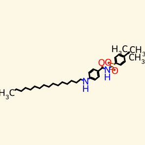 CCCCCCCCCCCCCCCCNc1ccc(C(=O)NS(=O)(=O)c2ccc(C(C)(C)C)cc2)cc1